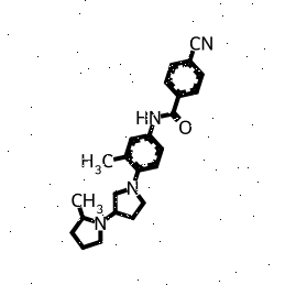 Cc1cc(NC(=O)c2ccc(C#N)cc2)ccc1N1CCC(N2CCCC2C)C1